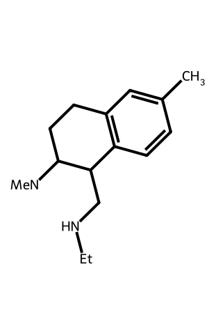 CCNCC1c2ccc(C)cc2CCC1NC